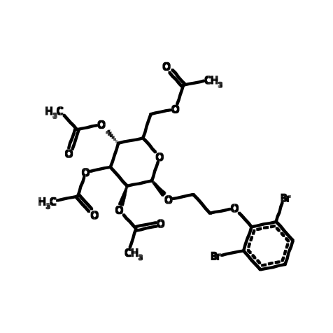 CC(=O)OCC1O[C@@H](OCCOc2c(Br)cccc2Br)[C@@H](OC(C)=O)C(OC(C)=O)[C@@H]1OC(C)=O